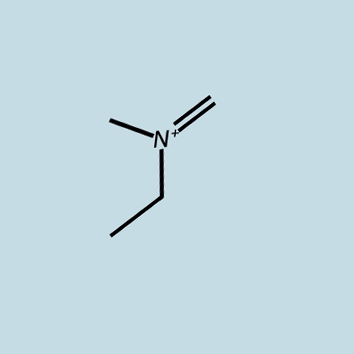 C=[N+](C)CC